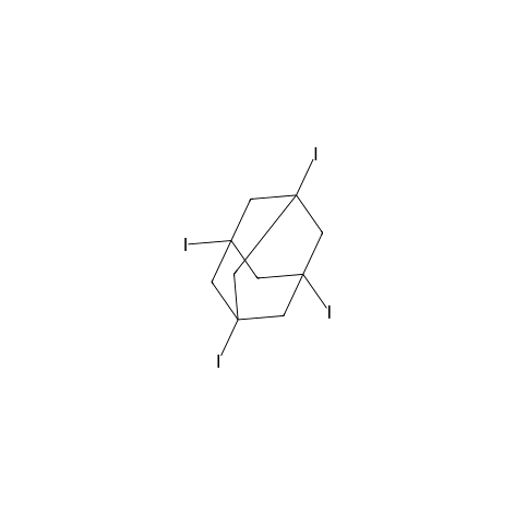 IC12CC3(I)CC(I)(C1)CC(I)(C2)C3